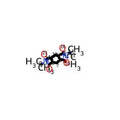 CC(C)n1c(=O)c2cc3c(=O)n(C(C)C)c(=O)c3cc2c1=O